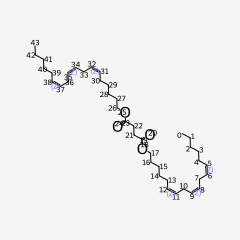 CCCCC/C=C\C/C=C\C/C=C\CCCCCOC(=O)CCC(=O)OCCCCC/C=C\C/C=C\C/C=C\CCCCC